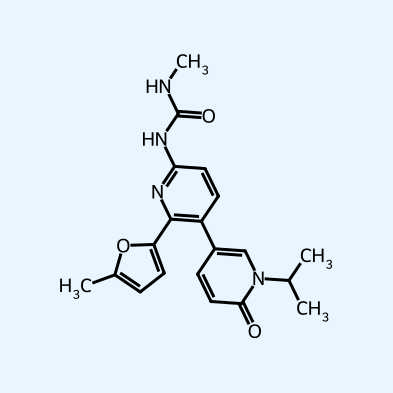 CNC(=O)Nc1ccc(-c2ccc(=O)n(C(C)C)c2)c(-c2ccc(C)o2)n1